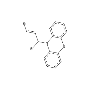 BrC=CC(Br)N1c2ccccc2Sc2ccccc21